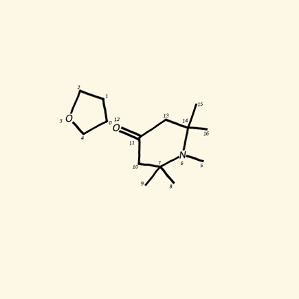 C1CCOC1.CN1C(C)(C)CC(=O)CC1(C)C